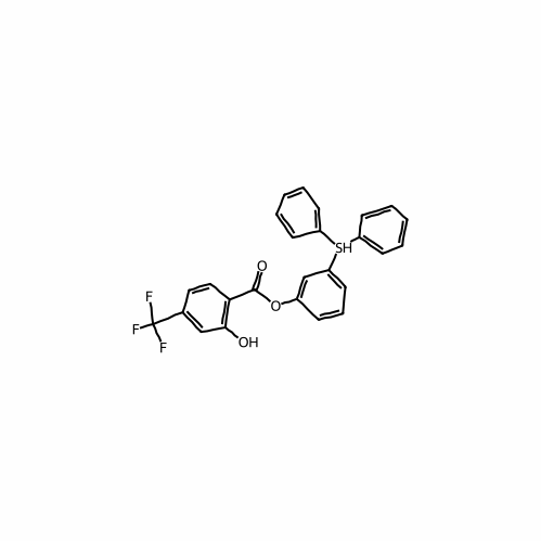 O=C(Oc1cccc([SH](c2ccccc2)c2ccccc2)c1)c1ccc(C(F)(F)F)cc1O